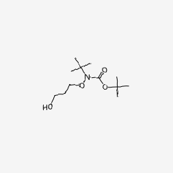 CC(C)(C)OC(=O)N(OCCCO)C(C)(C)C